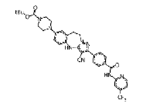 CC(C)(C)OC(=O)N1CCN(c2ccc3c(c2)CCn2nc(-c4ccc(C(=O)Nc5cc(C(F)(F)F)ccn5)cc4)c(C#N)c2N3)CC1